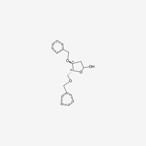 OC1C[C@H](OCc2ccccc2)[C@@H](COCc2ccccc2)O1